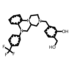 OCc1ccc(CN2CCN3c4ccccc4N(c4ccc(C(F)(F)F)cc4)CC3C2)cc1O